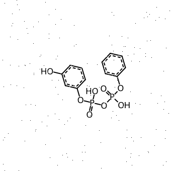 O=P(O)(Oc1ccccc1)OP(=O)(O)Oc1cccc(O)c1